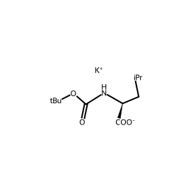 CC(C)C[C@H](NC(=O)OC(C)(C)C)C(=O)[O-].[K+]